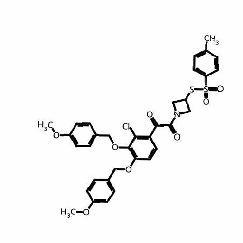 COc1ccc(COc2ccc(C(=O)C(=O)N3CC(SS(=O)(=O)c4ccc(C)cc4)C3)c(Cl)c2OCc2ccc(OC)cc2)cc1